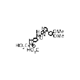 COc1ccc(-c2ccnc3cc(C(=O)Nc4ccc(C(=O)NC(CC(=O)O)C(=O)O)cc4)nn23)cc1OC